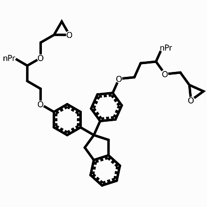 CCCC(CCOc1ccc(C2(c3ccc(OCCC(CCC)OCC4CO4)cc3)Cc3ccccc3C2)cc1)OCC1CO1